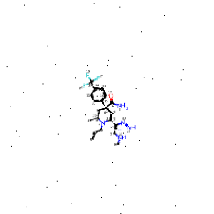 C=CCN1[C@@H](C)C[C@@](C(N)=O)(c2ccc(C(F)(F)F)cc2)C[C@H]1/C(=C/NC)N=N